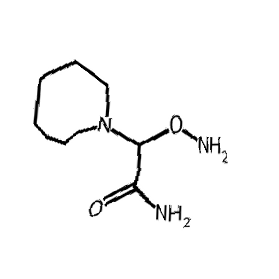 NOC(C(N)=O)N1CCCCC1